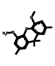 COc1cc(C)cc2c1Oc1c(OP)cc(C)cc1C2(C)C